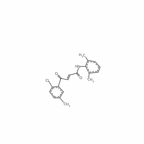 Cc1ccc(Cl)c(C(=O)C=CC(=O)Nc2c(C)cccc2C)c1